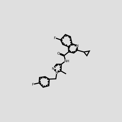 Cc1c(NC(=O)c2cc(C3CC3)nc3ccc(F)cc23)cnn1Cc1ccc(F)cc1